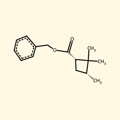 C[C@@H]1C[C@H](C(=O)OCc2ccccc2)C1(C)C